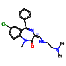 CCN(CC)CCN/C=C1/N=C(c2ccccc2)c2cc(Cl)ccc2N(C)C1=O